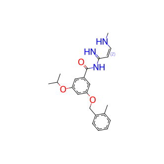 CN/C=C\C(=N)NC(=O)c1cc(OCc2ccccc2C)cc(OC(C)C)c1